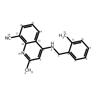 Cc1cc(NCc2ccccc2C)c2cccc(C#N)c2n1